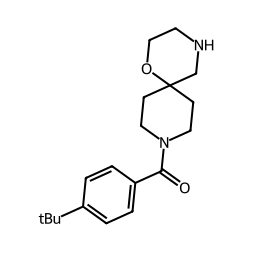 CC(C)(C)c1ccc(C(=O)N2CCC3(CC2)CNCCO3)cc1